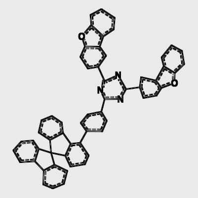 c1ccc2c(c1)-c1ccccc1C21c2ccccc2-c2c(-c3ccc(-c4nc(-c5ccc6oc7ccccc7c6c5)nc(-c5ccc6oc7ccccc7c6c5)n4)cc3)cccc21